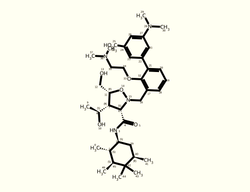 C[C@@H]1[C@@H](NC(=O)[C@@H]2[C@H]([C@H](C)O)[C@H](CO)ON2Cc2cccc(-c3cc(C(=O)O)cc(N(C)C)c3)c2OCCN(C)C)C[C@@H](C)C(C)(C)[C@H]1C